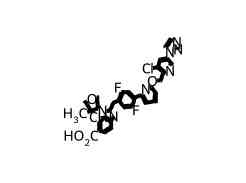 CC1(C)COCC1n1c(Cc2cc(F)c(-c3cccc(OCc4ncc(-n5ccnn5)cc4Cl)n3)cc2F)nc2ccc(C(=O)O)cc21